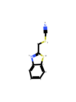 N#CSCc1nc2ccccc2s1